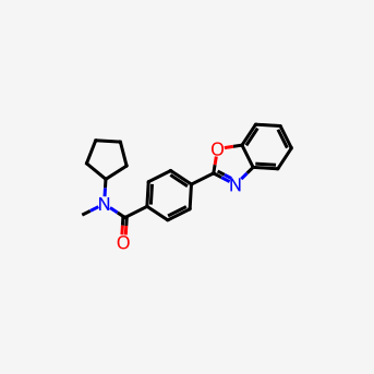 CN(C(=O)c1ccc(-c2nc3ccccc3o2)cc1)C1CCCC1